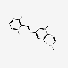 CN(C)/C=N\c1c(Cl)cc(/N=C/c2c(Cl)cccc2Cl)cc1Cl